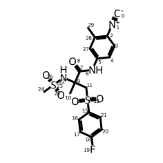 [C-]#[N+]c1ccc(NC(=O)C(C)(CS(=O)(=O)c2ccc(F)cc2)NS(C)(=O)=O)cc1C